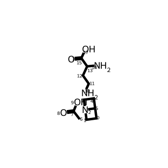 C1CN2CCC12.CC(=O)O.NCCC(N)C(=O)O